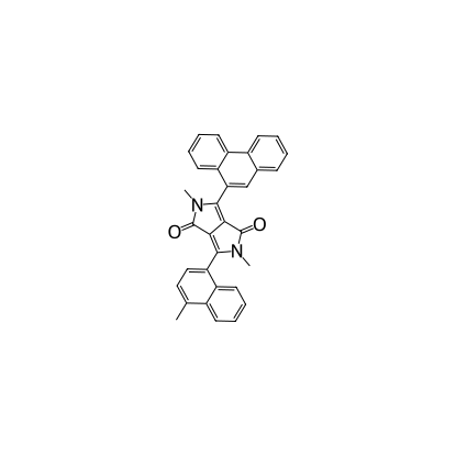 Cc1ccc(C2=C3C(=O)N(C)C(c4cc5ccccc5c5ccccc45)=C3C(=O)N2C)c2ccccc12